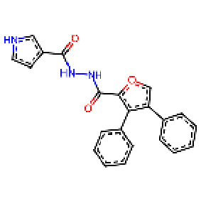 O=C(NNC(=O)c1occ(-c2ccccc2)c1-c1ccccc1)c1cc[nH]c1